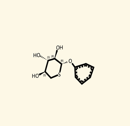 O[C@@H]1[C@@H](O)[C@H](Oc2ccccc2)SC[C@H]1O